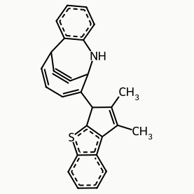 CC1=C(C)C(/C2=C/C=C\C3C#CC2Nc2ccccc23)c2sc3ccccc3c21